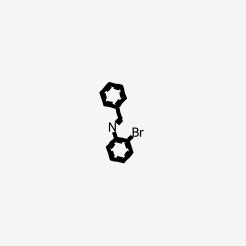 Brc1ccccc1N=Cc1ccccc1